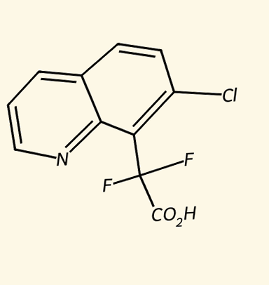 O=C(O)C(F)(F)c1c(Cl)ccc2cccnc12